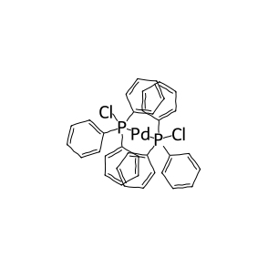 Cl[P]([Pd][P](Cl)(c1ccccc1)(c1ccccc1)c1ccccc1)(c1ccccc1)(c1ccccc1)c1ccccc1